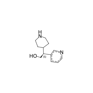 OC[C@H](c1cccnc1)C1CCNCC1